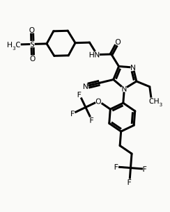 CCc1nc(C(=O)NCC2CCC(S(C)(=O)=O)CC2)c(C#N)n1-c1ccc(CCC(F)(F)F)cc1OC(F)(F)F